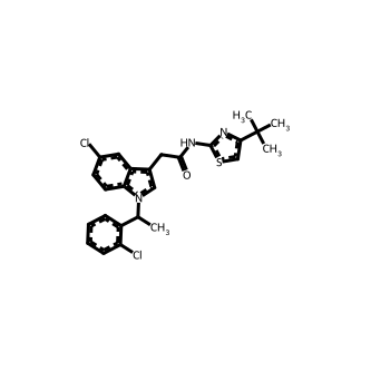 CC(c1ccccc1Cl)n1cc(CC(=O)Nc2nc(C(C)(C)C)cs2)c2cc(Cl)ccc21